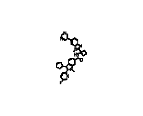 Cn1c(C2(NC(=O)c3ccc4c(C5CCCC5)c(-c5ccc(F)cn5)n(C)c4c3)CCC2)nc2ccc(-c3cncnc3)cc21